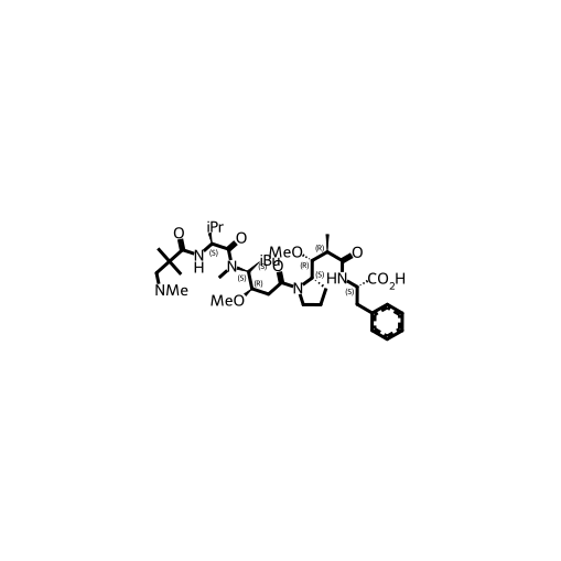 CC[C@H](C)[C@@H]([C@@H](CC(=O)N1CCC[C@H]1[C@H](OC)[C@@H](C)C(=O)N[C@@H](Cc1ccccc1)C(=O)O)OC)N(C)C(=O)[C@@H](NC(=O)C(C)(C)CNC)C(C)C